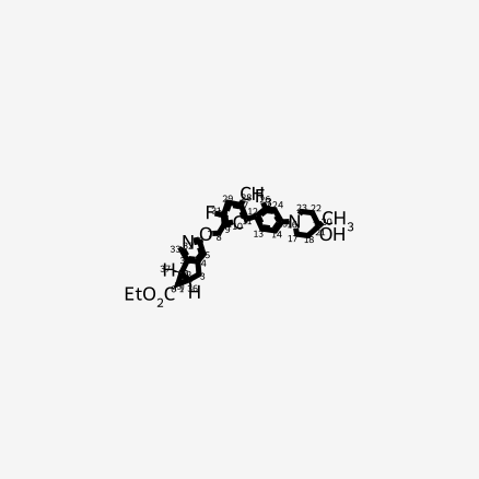 CCOC(=O)[C@H]1[C@@H]2Cc3cc(OCc4cc(-c5ccc(N6CCC(C)(O)CC6)cc5F)c(C)cc4F)ncc3[C@@H]21